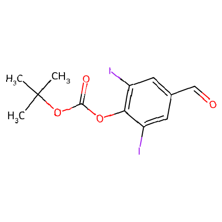 CC(C)(C)OC(=O)Oc1c(I)cc(C=O)cc1I